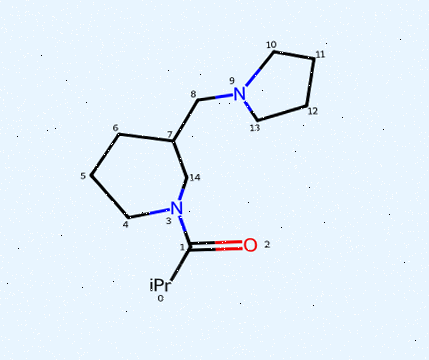 CC(C)C(=O)N1CCCC(CN2CCCC2)C1